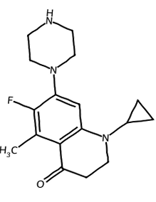 Cc1c(F)c(N2CCNCC2)cc2c1C(=O)CCN2C1CC1